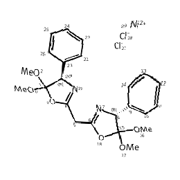 COC1(OC)OC(CC2=N[C@H](c3ccccc3)C(OC)(OC)O2)=N[C@@H]1c1ccccc1.[Cl-].[Cl-].[Ni+2]